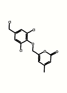 Cc1cc(COc2c(Cl)cc(CCl)cc2Cl)oc(=O)c1